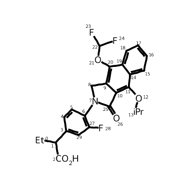 CCC(C(=O)O)c1ccc(N2Cc3c(c(OC(C)C)c4ccccc4c3OC(F)F)C2=O)c(F)c1